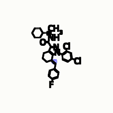 C[C@@H](NC(=O)c1nn(-c2ccc(Cl)cc2Cl)c2c1CCC/C2=C\c1ccc(F)cc1)C1CCCCC1